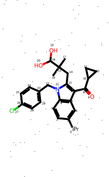 CC(C)c1ccc2c(c1)c(C(=O)C1CC1)c(CC(C)(C)C(O)O)n2Cc1ccc(Cl)cc1